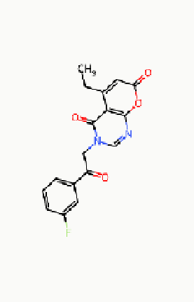 CCc1cc(=O)oc2ncn(CC(=O)c3cccc(F)c3)c(=O)c12